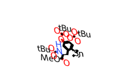 COC(=O)[C@H](Cc1cc(OC(=O)OC(C)(C)C)c(OC(=O)OC(C)(C)C)c[c]1[Sn]([CH3])([CH3])[CH3])NC(=O)OC(C)(C)C